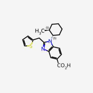 C[C@H]1CCCC[C@@H]1n1c(Cc2cccs2)nc2cc(C(=O)O)ccc21